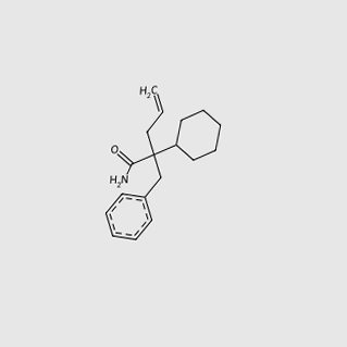 C=CCC(Cc1ccccc1)(C(N)=O)C1CCCCC1